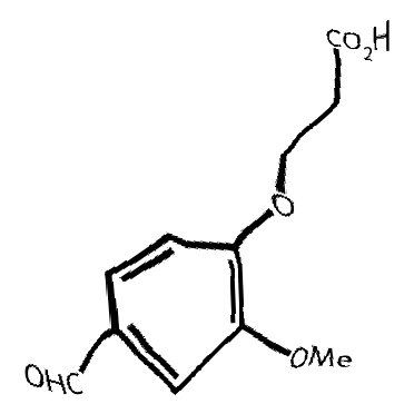 COc1cc(C=O)ccc1OCCC(=O)O